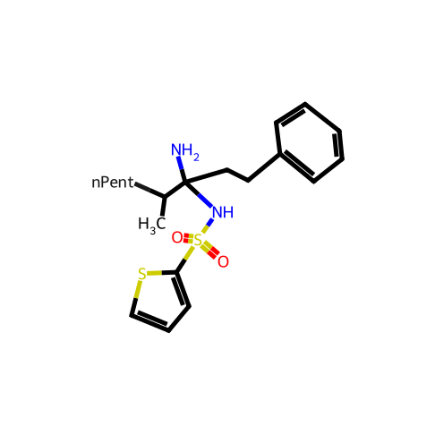 CCCCCC(C)C(N)(CCc1ccccc1)NS(=O)(=O)c1cccs1